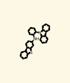 c1ccc(-n2c3ccccc3c3ccccc32)c(Nc2ccc3c(c2)sc2ccccc23)c1